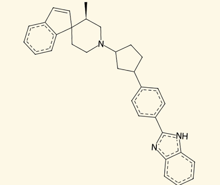 C[C@H]1CN(C2CCC(c3ccc(-c4nc5ccccc5[nH]4)cc3)C2)CCC12C=Cc1ccccc12